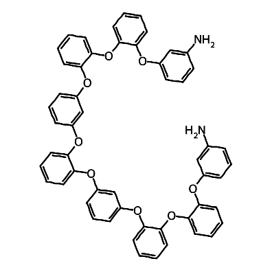 Nc1cccc(Oc2ccccc2Oc2ccccc2Oc2cccc(Oc3ccccc3Oc3cccc(Oc4ccccc4Oc4ccccc4Oc4cccc(N)c4)c3)c2)c1